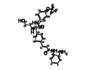 Nc1ccccc1NC(=O)C=Cc1ccc(C(NCCO)C(=O)Nc2ccc(OC(F)(F)F)cc2)cc1